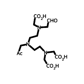 CC(=O)CN(CCN(CC=O)CC(=O)O)CCN(CC(=O)O)CC(=O)O